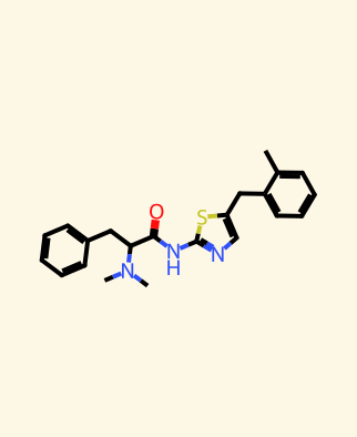 Cc1ccccc1Cc1cnc(NC(=O)C(Cc2ccccc2)N(C)C)s1